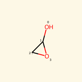 OC1[CH]O1